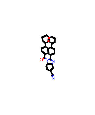 N#Cc1ccc2c(c1)nc1c3ccc(-c4ccccc4)c4c(-c5ccccc5)ccc(c(=O)n21)c43